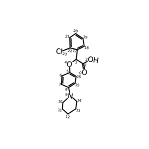 O=C(O)C(Oc1ccc(N2CCCCC2)cc1)c1ccccc1Cl